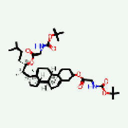 CC(C)CC[C@H](OC(=O)CNC(=O)OC(C)(C)C)[C@@H](C)[C@H]1CC[C@H]2[C@@H]3CC=C4CC(OC(=O)CNC(=O)OC(C)(C)C)CC[C@]4(C)[C@H]3CC[C@]12C